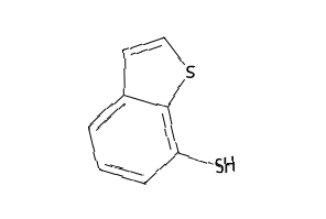 Sc1cccc2ccsc12